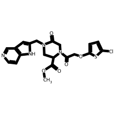 COC(=O)C1CN(Cc2cc3cnccc3[nH]2)C(=O)CN1C(=O)COc1ccc(Cl)s1